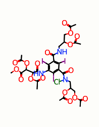 COC(=O)C(OC(C)=O)C(OC(C)=O)C(=O)Nc1c(I)c(C(=O)NCC(COC(C)=O)OC(C)=O)c(I)c(C(=O)N(Cl)CC(COC(C)=O)OC(C)=O)c1I